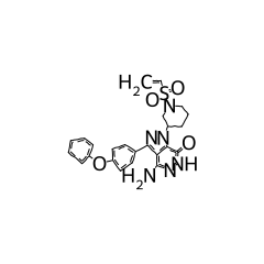 C=CS(=O)(=O)N1CCCC(n2nc(-c3ccc(Oc4ccccc4)cc3)c3c(N)n[nH]c(=O)c32)C1